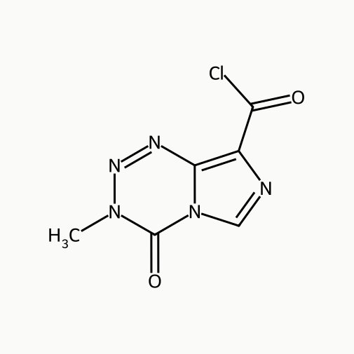 Cn1nnc2c(C(=O)Cl)ncn2c1=O